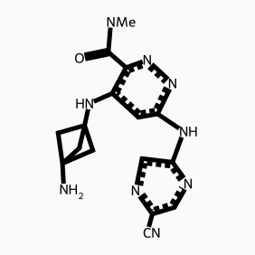 CNC(=O)c1nnc(Nc2cnc(C#N)cn2)cc1NC12CC(N)(C1)C2